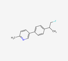 Cc1ccc(-c2ccc(C(C)CF)cc2)cn1